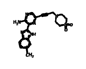 Cc1ccc2nc(-c3nc(C#CCN4CCS(=O)(=O)CC4)cnc3N)[nH]c2c1